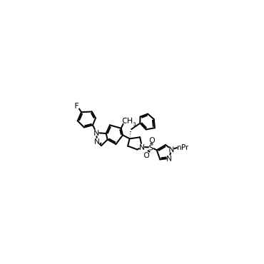 CCCn1cc(S(=O)(=O)N2CC[C@@](Cc3ccccc3)(c3cc4cnn(-c5ccc(F)cc5)c4cc3C)C2)cn1